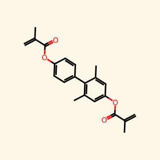 C=C(C)C(=O)Oc1ccc(-c2c(C)cc(OC(=O)C(=C)C)cc2C)cc1